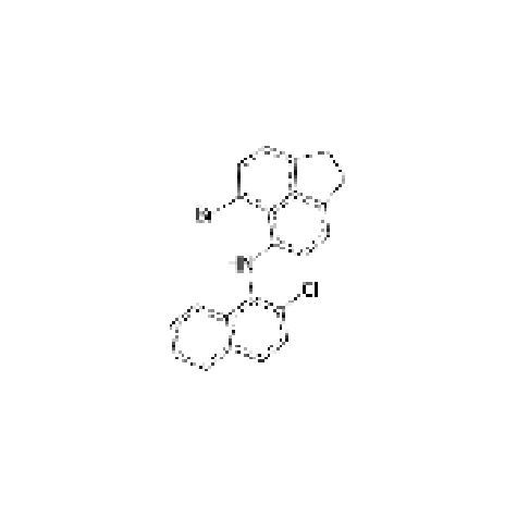 Clc1ccc2ccccc2c1Nc1ccc2c3c(ccc(Br)c13)CC2